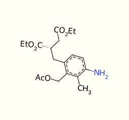 CCOC(=O)C[C@H](Cc1ccc(N)c(C)c1COC(C)=O)C(=O)OCC